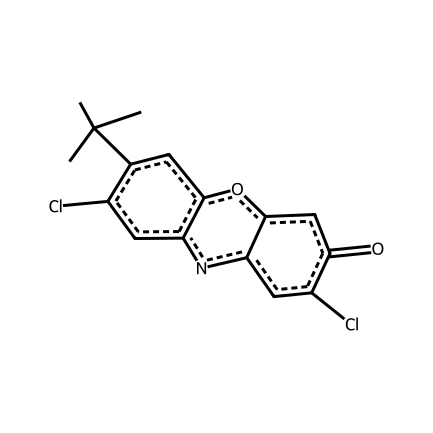 CC(C)(C)c1cc2oc3cc(=O)c(Cl)cc-3nc2cc1Cl